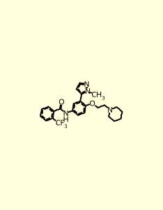 Cn1nccc1-c1cc(NC(=O)c2ccccc2C(F)(F)F)ccc1OCCN1CCCCC1